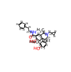 CCc1ccc(O)c(OC)c1[C@]12CCN(CC3CC3)[C@H](C)C1C=C(C(=O)NCCc1ccccc1)C(O)C2